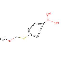 COCSc1ccc(B(O)O)cc1